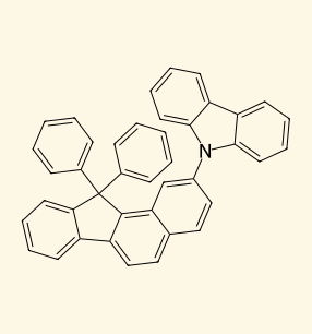 c1ccc(C2(c3ccccc3)c3ccccc3-c3ccc4ccc(-n5c6ccccc6c6ccccc65)cc4c32)cc1